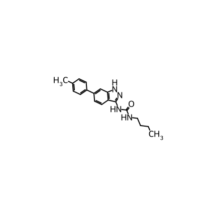 CCCCNC(=O)Nc1n[nH]c2cc(-c3ccc(C)cc3)ccc12